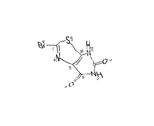 O=c1[nH]c(=O)c2nc(Br)sc2[nH]1